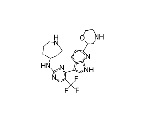 FC(F)(F)c1cnc(NC2CCCNCC2)nc1-c1c[nH]c2nc(C3CNCCO3)ccc12